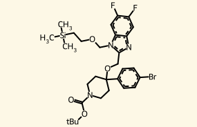 CC(C)(C)OC(=O)N1CCC(OCc2nc3cc(F)c(F)cc3n2COCC[Si](C)(C)C)(c2ccc(Br)cc2)CC1